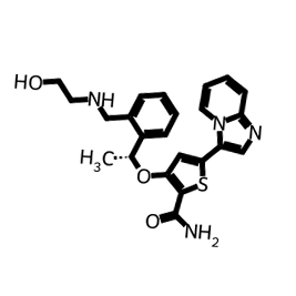 C[C@@H](Oc1cc(-c2cnc3ccccn23)sc1C(N)=O)c1ccccc1CNCCO